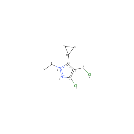 CCn1nc(Cl)c(CCl)c1C1CC1